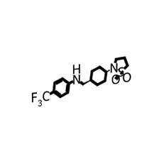 O=S1(=O)CCCN1[C@H]1CC[C@H](CNc2ccc(C(F)(F)F)cc2)CC1